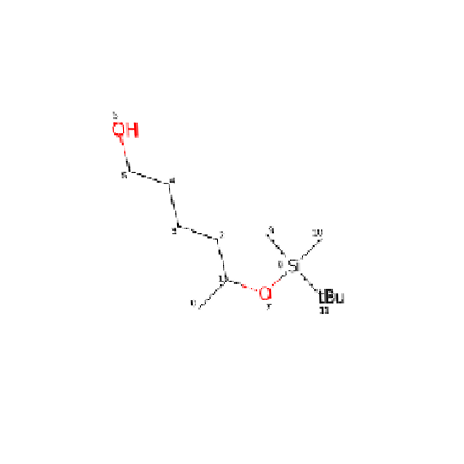 CC(CCCCO)O[Si](C)(C)C(C)(C)C